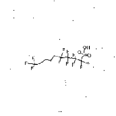 O=S(=O)(O)C(F)(F)C(F)(F)C(F)(F)C(F)(F)CCCCC(F)(F)F